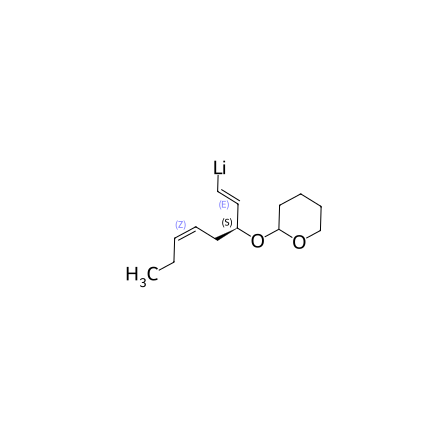 [Li]/[CH]=C/[C@H](C/C=C\CC)OC1CCCCO1